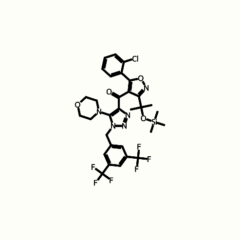 CC(C)(O[Si](C)(C)C)c1noc(-c2ccccc2Cl)c1C(=O)c1nnn(Cc2cc(C(F)(F)F)cc(C(F)(F)F)c2)c1N1CCOCC1